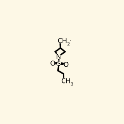 [CH2]C1CN(S(=O)(=O)CCC)C1